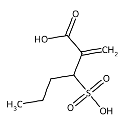 C=C(C(=O)O)C(CCC)S(=O)(=O)O